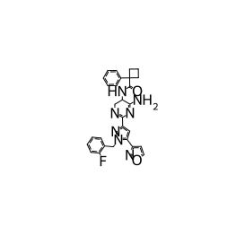 NC1=NC(c2cc(-c3ccon3)n(Cc3ccccc3F)n2)=NCC1NC(=O)C1(c2ccccc2)CCC1